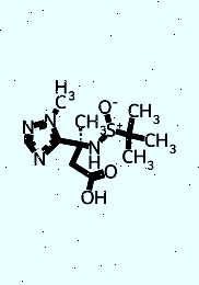 Cn1ncnc1[C@](C)(CC(=O)O)N[S+]([O-])C(C)(C)C